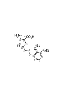 CCOc1cccc(CCCC(CC)CC(CN)C(=O)O)c1OCC